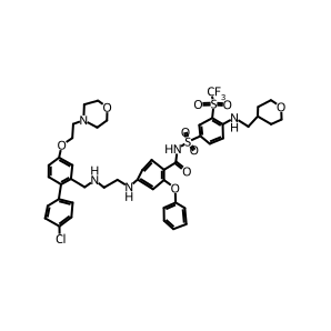 O=C(NS(=O)(=O)c1ccc(NCC2CCOCC2)c(S(=O)(=O)C(F)(F)F)c1)c1ccc(NCCNCc2cc(OCCN3CCOCC3)ccc2-c2ccc(Cl)cc2)cc1Oc1ccccc1